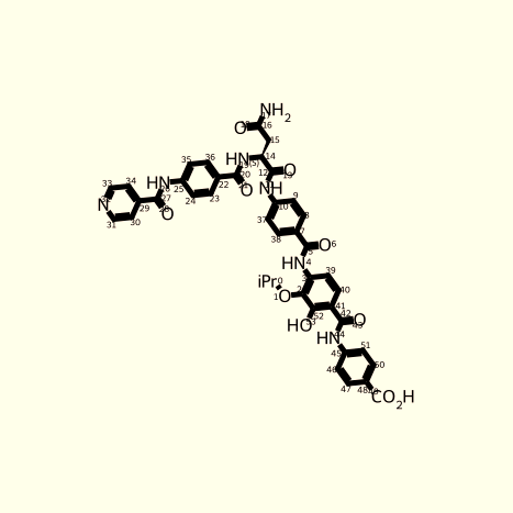 CC(C)Oc1c(NC(=O)c2ccc(NC(=O)[C@H](CC(N)=O)NC(=O)c3ccc(NC(=O)c4ccncc4)cc3)cc2)ccc(C(=O)Nc2ccc(C(=O)O)cc2)c1O